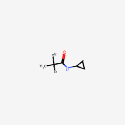 CCCC(C)(CC)C(=O)NC1CC1